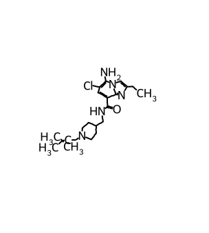 CCc1cn2c(N)c(Cl)cc(C(=O)NCC3CCN(CCC(C)(C)C)CC3)c2n1